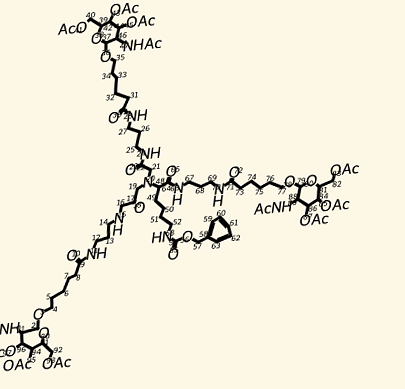 CC(=O)NC1C(OCCCCCC(=O)NCCCNCC(=O)CN(CC(=O)NCCCNC(=O)CCCCCOC2OC(COC(C)=O)C(OC(C)=O)C(OC(C)=O)C2NC(C)=O)C(CCCCNC(=O)OCc2ccccc2)C(=O)NCCCNC(=O)CCCCCOC2OC(COC(C)=O)C(OC(C)=O)C(OC(C)=O)C2NC(C)=O)OC(COC(C)=O)C(OC(C)=O)C1OC(C)=O